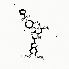 COc1cc2cc(C(=O)NC(CC(C)C)C(=O)N[C@H]3CCCN(S(=O)(=O)c4cccs4)CC3=O)oc2cc1OC